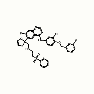 O=S(=O)(CCNCC1(c2cc3c(Nc4ccc(OCc5cccc(F)c5)c(Cl)c4)ncnc3cc2F)CC=CO1)c1ccccn1